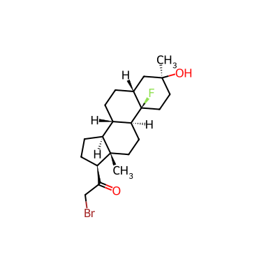 C[C@]1(O)CC[C@@]2(F)[C@H](CC[C@H]3[C@@H]4CC[C@H](C(=O)CBr)[C@@]4(C)CC[C@@H]32)C1